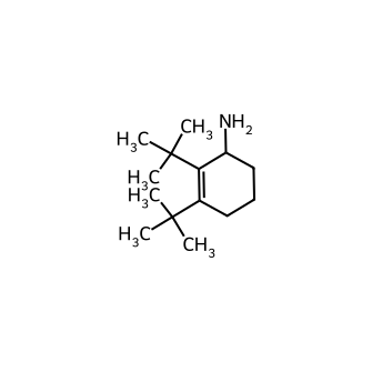 CC(C)(C)C1=C(C(C)(C)C)C(N)CCC1